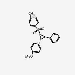 COc1ccc([C@H]2[C@H](c3ccccc3)N2S(=O)(=O)c2ccc(C)cc2)cc1